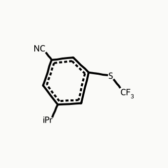 CC(C)c1cc(C#N)cc(SC(F)(F)F)c1